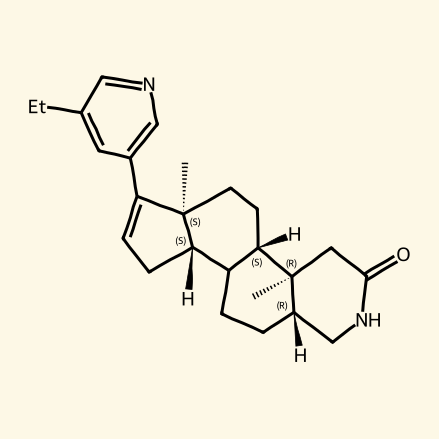 CCc1cncc(C2=CC[C@H]3C4CC[C@H]5CNC(=O)C[C@]5(C)[C@H]4CC[C@]23C)c1